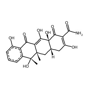 C[C@]12C[C@H]3CC(O)=C(C(N)=O)C(=O)[C@@]3(O)C(O)=C1C(=O)c1c(O)cccc1[C@@]2(C)O